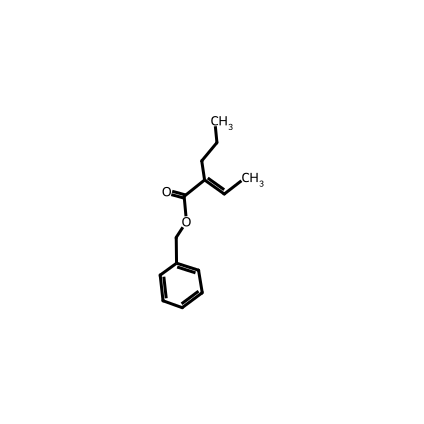 CC=C(CCC)C(=O)OCc1ccccc1